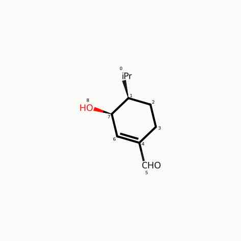 CC(C)[C@H]1CCC(C=O)=C[C@H]1O